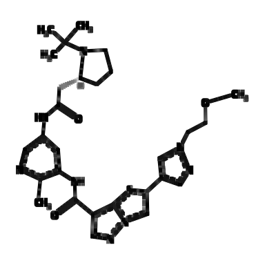 COCCn1cc(-c2cn3ncc(C(=O)Nc4cc(NC(=O)C[C@H]5CCCN5C(C)(C)C)cnc4C)c3s2)cn1